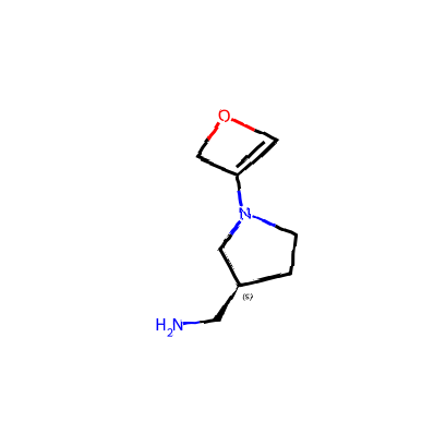 NC[C@@H]1CCN(C2=COC2)C1